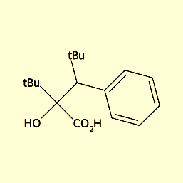 CC(C)(C)C(c1ccccc1)C(O)(C(=O)O)C(C)(C)C